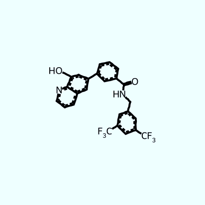 O=C(NCc1cc(C(F)(F)F)cc(C(F)(F)F)c1)c1cccc(-c2cc(O)c3ncccc3c2)c1